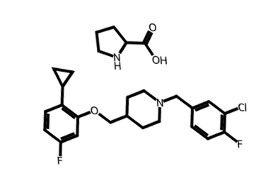 Fc1ccc(C2CC2)c(OCC2CCN(Cc3ccc(F)c(Cl)c3)CC2)c1.O=C(O)C1CCCN1